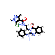 Cc1nn(C)c(Cl)c1C(=O)NCCn1c(Nc2ccccc2)nc2ccccc2c1=O